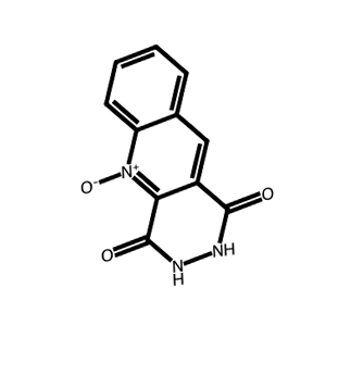 O=c1[nH][nH]c(=O)c2c1cc1ccccc1[n+]2[O-]